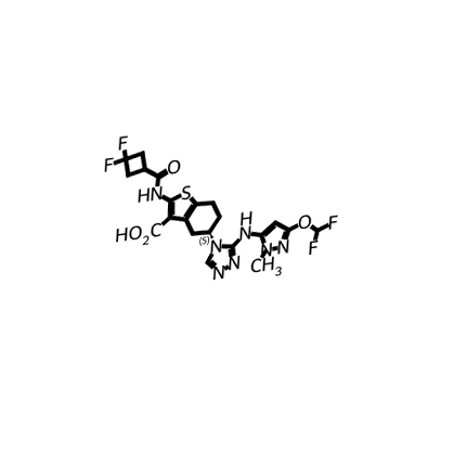 Cn1nc(OC(F)F)cc1Nc1nncn1[C@H]1CCc2sc(NC(=O)C3CC(F)(F)C3)c(C(=O)O)c2C1